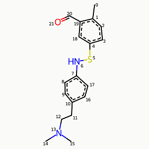 Cc1ccc(SNc2ccc(CCN(C)C)cc2)cc1C=O